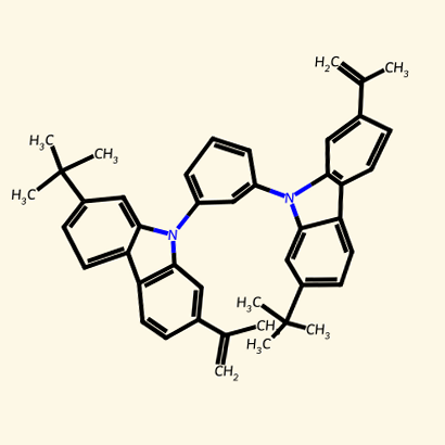 C=C(C)c1ccc2c3ccc(C(C)(C)C)cc3n(-c3cccc(-n4c5cc(C(=C)C)ccc5c5ccc(C(C)(C)C)cc54)c3)c2c1